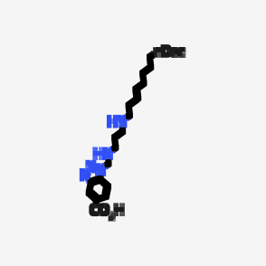 CCCCCCCCCCCCCCC=CCCNCCCNCn1nnc2cc(C(=O)O)ccc21